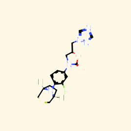 O=C1OC(Cn2cncn2)CN1c1ccc(N2[C@@H]3CC[C@H]2CSC3)c(F)c1